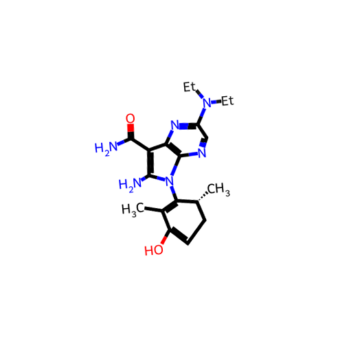 CCN(CC)c1cnc2c(n1)c(C(N)=O)c(N)n2C1=C(C)C(O)=CC[C@H]1C